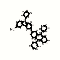 N#Cc1ccc2c(c1)c1cc(-c3ccc4c(-c5cccnc5)c5ccccc5c(-c5cccnc5)c4c3)ccc1n2-c1ccccc1